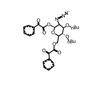 CCCCO[C@@H]1C(COC(=O)C(=O)c2ccccc2)O[C@@H](OC(=O)C(=O)c2ccccc2)C(N=[N+]=[N-])[C@H]1OCCCC